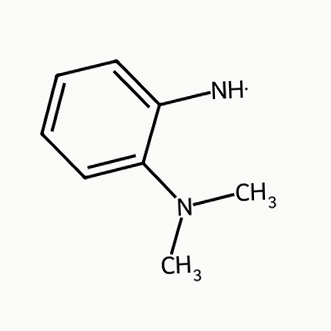 CN(C)c1ccccc1[NH]